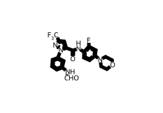 O=CNc1cccc(-n2nc(C(F)(F)F)cc2C(=O)Nc2ccc(N3CCOCC3)cc2F)c1